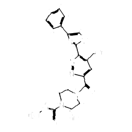 CC(C)c1cc(C(=O)N2CCN(C(=O)OC(C)(C)C)[C@@H](C(C)C)C2)nnc1-c1nc(-c2ccccc2)co1